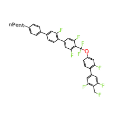 CCCCCc1ccc(-c2ccc(-c3cc(F)c(C(F)(F)Oc4ccc(-c5cc(F)c(CF)c(F)c5)c(F)c4)c(F)c3)c(F)c2)cc1